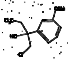 COc1cccc(C(O)(CCl)CC(Cl)(Cl)Cl)c1